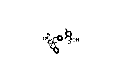 COC(=O)[C@H]1CN(Cc2ccccc2)C(=O)N1Cc1ccccc1.Cc1ccc(C(=O)O)c(C)c1